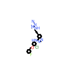 CN(C)/C(=N\C#N)NCC#Cc1ccc2ncnc(Nc3ccc(OCc4cccc(F)c4)c(Cl)c3)c2c1